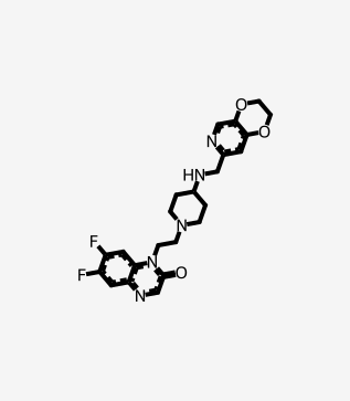 O=c1cnc2cc(F)c(F)cc2n1CCN1CCC(NCc2cc3c(cn2)OCCO3)CC1